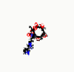 CC[C@H]1OC(=O)[C@H](C)C(=O)[C@H](C)C[C@](C)(OC)C[C@@H](C)C(=O)[C@H](C)[C@H]2N(CCCCn3cnc(-c4cccnc4)c3)C(=O)O[C@]12C